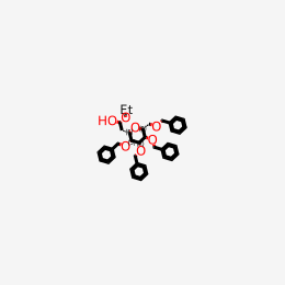 CCOC(O)C[C@@H]1O[C@H](COCc2ccccc2)C(OCc2ccccc2)[C@H](OCc2ccccc2)[C@H]1OCc1ccccc1